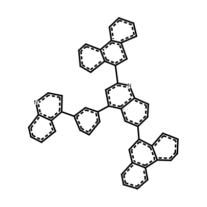 c1cc(-c2ccnc3ccccc23)cc(-c2cc(-c3cc4ccccc4c4ccccc34)nc3ccc(-c4cc5ccccc5c5ccccc45)cc23)c1